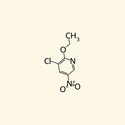 CCOc1ncc([N+](=O)[O-])cc1Cl